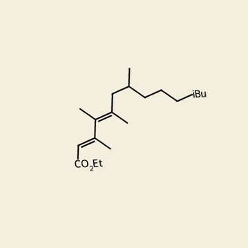 CCOC(=O)/C=C(C)/C(C)=C(\C)CC(C)CCCC(C)CC